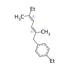 CC/C(C)=C/C=C(\C)Cc1ccc(CC)cc1